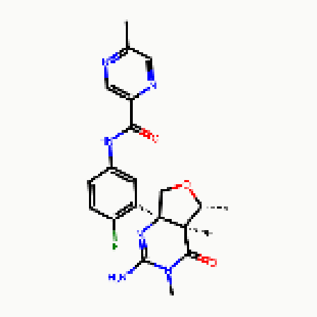 Cc1cnc(C(=O)Nc2ccc(F)c([C@]34CO[C@H](C)[C@H]3C(=O)N(C)C(N)=N4)c2)cn1